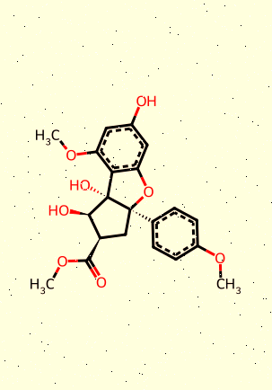 COC(=O)[C@@H]1C[C@]2(c3ccc(OC)cc3)Oc3cc(O)cc(OC)c3[C@]2(O)[C@@H]1O